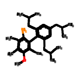 COc1c(C)c(C)c(P)c(-c2c(CC(C)C)cc(CC(C)C)cc2CC(C)C)c1C